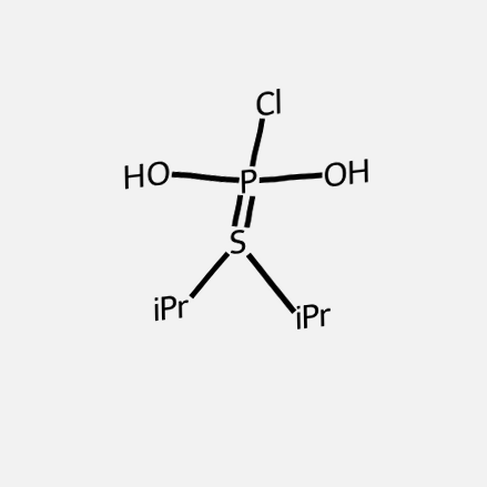 CC(C)S(C(C)C)=P(O)(O)Cl